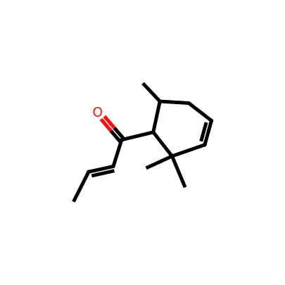 CC=CC(=O)C1C(C)CC=CC1(C)C